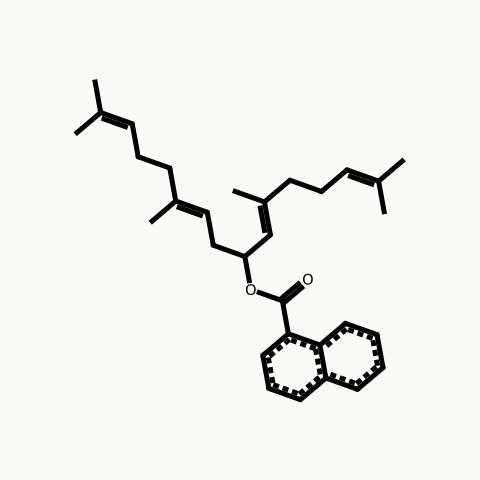 CC(C)=CCC/C(C)=C/CC(/C=C(\C)CCC=C(C)C)OC(=O)c1cccc2ccccc12